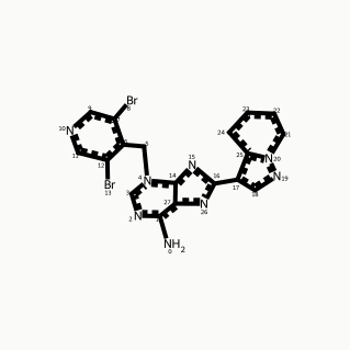 Nc1ncn(Cc2c(Br)cncc2Br)c2nc(-c3cnn4ccccc34)nc1-2